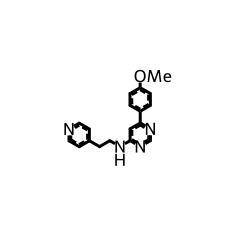 COc1ccc(-c2cc(NCCc3ccncc3)ncn2)cc1